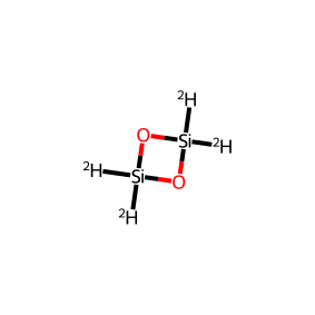 [2H][Si]1([2H])O[Si]([2H])([2H])O1